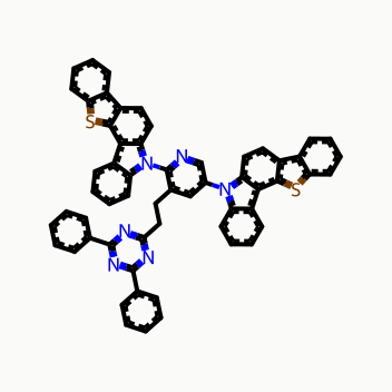 c1ccc(-c2nc(CCc3cc(-n4c5ccccc5c5c6sc7ccccc7c6ccc54)cnc3-n3c4ccccc4c4c5sc6ccccc6c5ccc43)nc(-c3ccccc3)n2)cc1